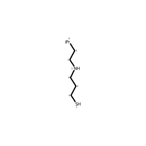 CC(C)CCNCCCS